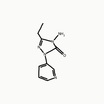 CCc1nn(-c2cccnc2)c(=O)n1N